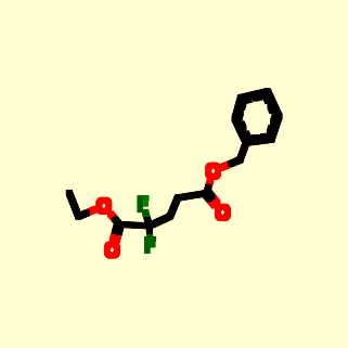 CCOC(=O)C(F)(F)CCC(=O)OCc1ccccc1